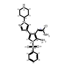 N/C(Cl)=C\c1c(-c2cnn(C3CCNCC3)c2)cn(S(=O)(=O)c2ccccc2)c1N